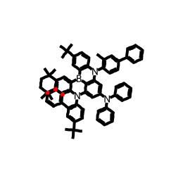 Cc1cc(-c2ccccc2)ccc1N1c2ccc(C(C)(C)C)cc2B2c3cc4c(cc3N(c3ccc(C(C)(C)C)cc3-c3ccccc3)c3cc(N(c5ccccc5)c5ccccc5)cc1c32)C(C)(C)CCC4(C)C